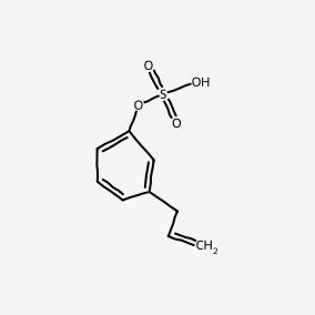 C=CCc1cccc(OS(=O)(=O)O)c1